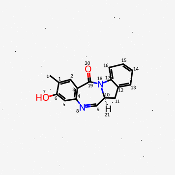 Cc1cc2c(cc1O)N=C[C@@H]1Cc3ccccc3N1C2=O